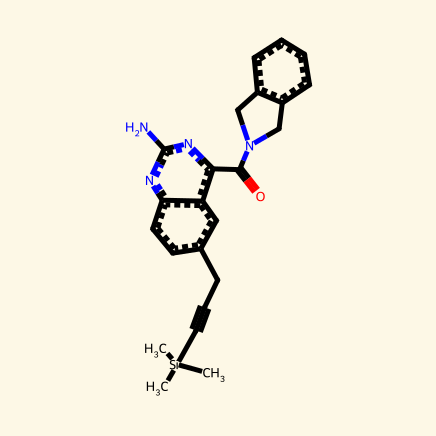 C[Si](C)(C)C#CCc1ccc2nc(N)nc(C(=O)N3Cc4ccccc4C3)c2c1